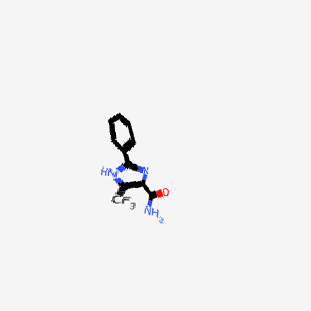 NC(=O)c1nc(-c2ccccc2)[nH]c1C(F)(F)F